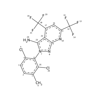 Cc1ccc(Cl)c(-n2nc3nc(C(F)(F)F)cc(C(F)(F)F)c3c2N)c1Cl